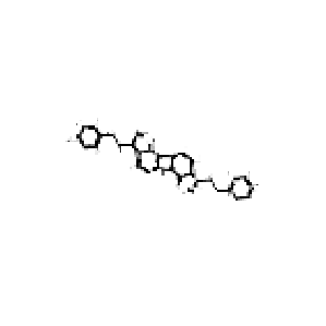 c1ccc(CCc2csc3c4c(ccc23)-c2c-4ccc3c(CCc4ccccc4)csc23)cc1